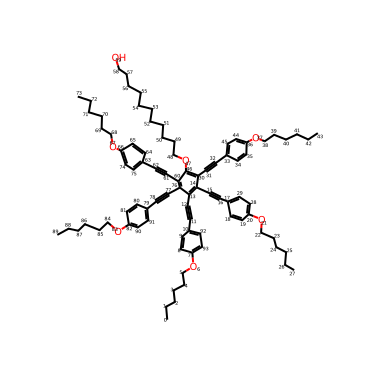 CCCCCCOc1ccc(C#Cc2c(C#Cc3ccc(OCCCCCC)cc3)c(C#Cc3ccc(OCCCCCC)cc3)c(OCCCCCCCCCCCO)c(C#Cc3ccc(OCCCCCC)cc3)c2C#Cc2ccc(OCCCCCC)cc2)cc1